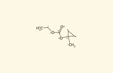 CCOC(=O)OC1(C)CC1